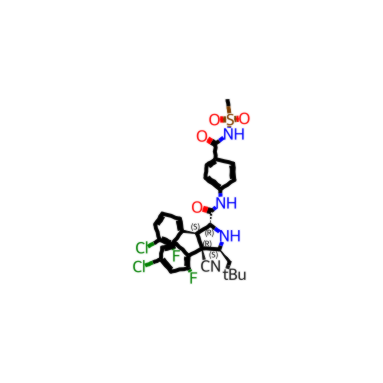 CC(C)(C)C[C@@H]1N[C@@H](C(=O)Nc2ccc(C(=O)NS(C)(=O)=O)cc2)[C@H](c2cccc(Cl)c2F)[C@@]1(C#N)c1ccc(Cl)cc1F